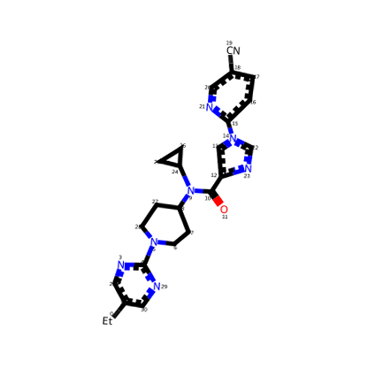 CCc1cnc(N2CCC(N(C(=O)c3cn(-c4ccc(C#N)cn4)cn3)C3CC3)CC2)nc1